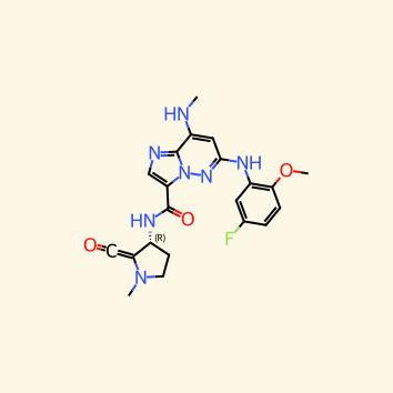 CNc1cc(Nc2cc(F)ccc2OC)nn2c(C(=O)N[C@@H]3CCN(C)C3=C=O)cnc12